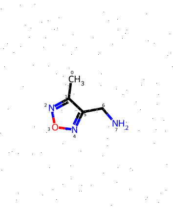 Cc1nonc1CN